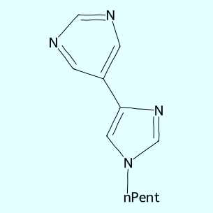 C[CH]CCCn1cnc(-c2cncnc2)c1